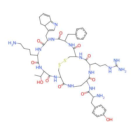 CC(O)C1NC(=O)C(CCCCN)NC(=O)C(CC2=CN=C3C=CCCC23)NC(=O)C(Cc2ccccc2)NC(=O)C2CSSCC(NC1=O)C(=O)NCCC(NC(=O)C(N)Cc1ccc(O)cc1)C(=O)NC(CCCNC(=N)N)C(=O)N2